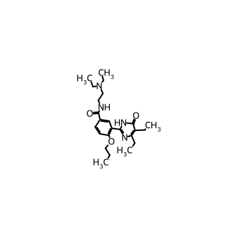 CCCOc1ccc(C(=O)NCCN(CC)CC)cc1-c1nc(CC)c(CC)c(=O)[nH]1